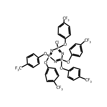 FC(F)(F)c1ccc(OP2(Cl)=NP(Oc3ccc(C(F)(F)F)cc3)(Oc3ccc(C(F)(F)F)cc3)=NP(Oc3ccc(C(F)(F)F)cc3)(Oc3ccc(C(F)(F)F)cc3)=N2)cc1